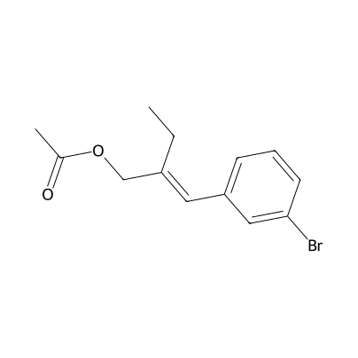 CC/C(=C\c1cccc(Br)c1)COC(C)=O